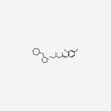 C/C(=C\c1ccc(F)cc1F)CNCC[C@@H]1CCCN1CC1CCCCC1